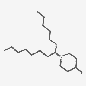 CCCCCCCC(CCCCCC)N1CCC(F)CC1